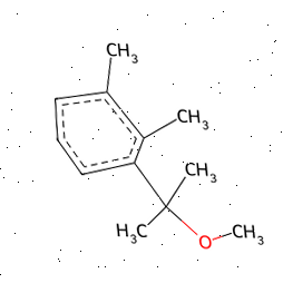 COC(C)(C)c1cccc(C)c1C